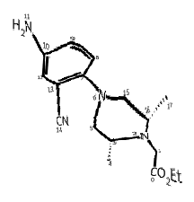 CCOC(=O)CN1[C@H](C)CN(c2ccc(N)cc2C#N)C[C@@H]1C